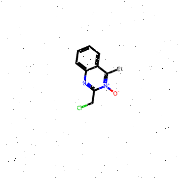 CCc1c2ccccc2nc(CCl)[n+]1[O-]